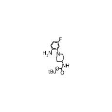 CC(C)(C)OC(=O)NC1CCN(c2cc(F)ccc2N)CC1